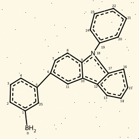 Bc1cccc(-c2ccc3c(c2)c2ccccc2n3-c2ccccc2)c1